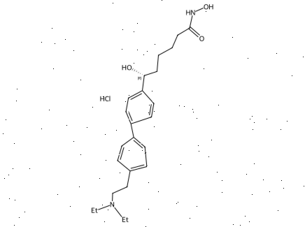 CCN(CC)CCc1ccc(-c2ccc([C@H](O)CCCCC(=O)NO)cc2)cc1.Cl